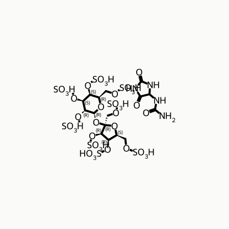 NC(=O)NC1NC(=O)NC1=O.O=S(=O)(O)OC[C@@H]1O[C@](COS(=O)(=O)O)(O[C@H]2O[C@H](COS(=O)(=O)O)[C@H](OS(=O)(=O)O)[C@H](OS(=O)(=O)O)[C@H]2OS(=O)(=O)O)[C@H](OS(=O)(=O)O)[C@@H]1OS(=O)(=O)O